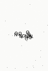 Cc1ccc(C(=O)Nc2ccc3c(c2)CCN3C(=O)Cc2ccccn2)c(N2CCOCC2)n1